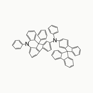 c1ccc(N(c2ccc3c(c2)C2(c4ccccc4-c4ccccc42)c2ccccc2-3)c2ccc3c(c2)C2(c4ccccc4)c4ccccc4N(c4ccccc4)c4cccc-3c42)cc1